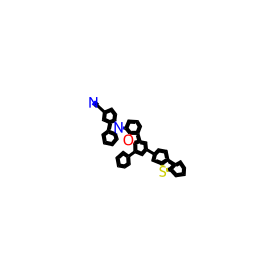 N#Cc1ccc2c(c1)c1ccccc1n2-c1cccc2c1oc1c(-c3ccccc3)cc(-c3ccc4c(c3)sc3ccccc34)cc12